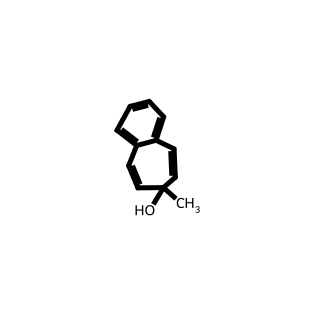 CC1(O)C=Cc2ccccc2C=C1